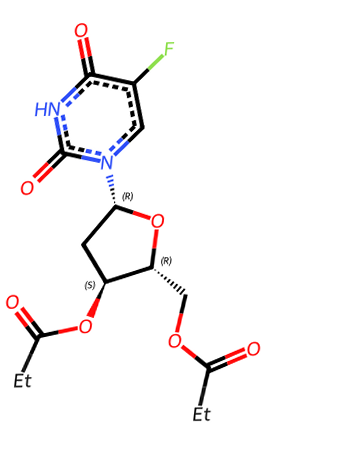 CCC(=O)OC[C@H]1O[C@@H](n2cc(F)c(=O)[nH]c2=O)C[C@@H]1OC(=O)CC